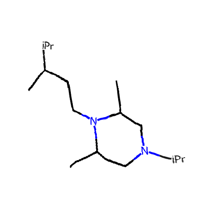 CC(C)C(C)CCN1C(C)CN(C(C)C)CC1C